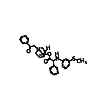 CSc1cccc(NC(C(=O)O[C@H]2C[N+]3(CC(=O)c4ccccc4)CCC2CC3)c2ccccc2)c1